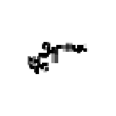 CCCCCCCCNC(=O)C=CC1=NC=NC1=O